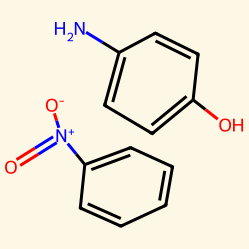 Nc1ccc(O)cc1.O=[N+]([O-])c1ccccc1